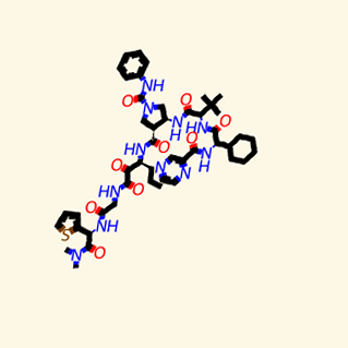 CCC[C@H](NC(=O)[C@@H]1CN(C(=O)Nc2ccccc2)C[C@@H]1NC(=O)[C@@H](NC(=O)[C@@H](NC(=O)c1cnccn1)C1CCCCC1)C(C)(C)C)C(=O)C(=O)NCC(=O)N[C@H](C(=O)N(C)C)c1cccs1